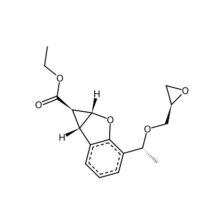 CCOC(=O)[C@H]1[C@@H]2Oc3c(cccc3[C@@H](C)OC[C@H]3CO3)[C@@H]21